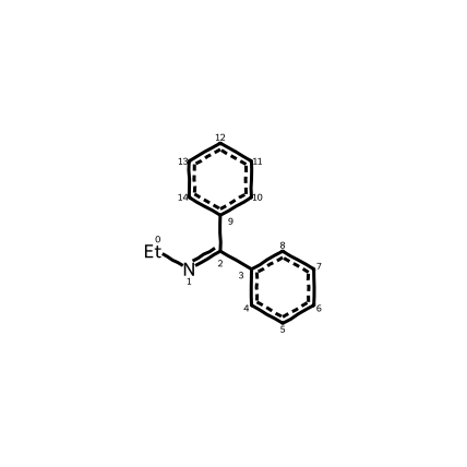 CCN=C(c1ccccc1)c1ccccc1